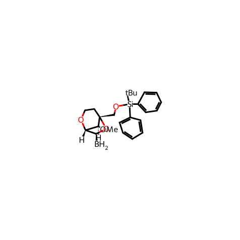 B[C@@H]1O[C@@]2(CO[Si](c3ccccc3)(c3ccccc3)C(C)(C)C)CCO[C@@H]1[C@@H]2OC